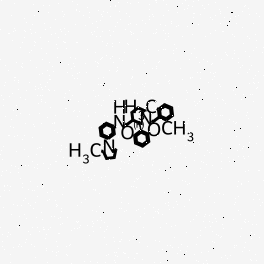 Cc1cccc(C)c1C(=O)N1CCCC(C(=O)Nc2cccc(N3CCCC3C)c2)[C@@H]1c1ccccc1